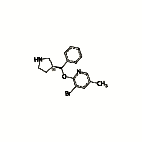 Cc1cnc(OC(c2ccccc2)[C@H]2CCNC2)c(Br)c1